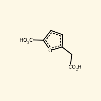 O=C(O)Cc1ccc(C(=O)O)o1